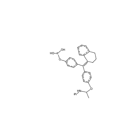 CC(C)NC(C)Oc1ccc(C(=C2CCCc3ccccc32)c2ccc(OP(O)O)cc2)cc1